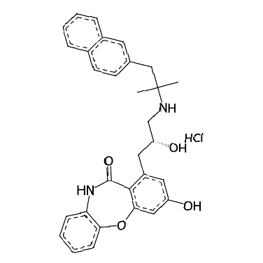 CC(C)(Cc1ccc2ccccc2c1)NC[C@H](O)Cc1cc(O)cc2c1C(=O)Nc1ccccc1O2.Cl